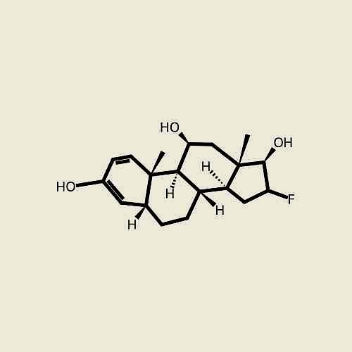 C[C@]12C=CC(O)=C[C@H]1CC[C@@H]1[C@@H]2[C@@H](O)C[C@]2(C)[C@@H](O)C(F)C[C@@H]12